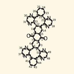 O=c1c2cc3c(cc2c(=O)c2cc4c(cc12)c1nccnc1c1ccccc1c1nccnc41)c1nccnc1c1ccccc1c1nccnc31